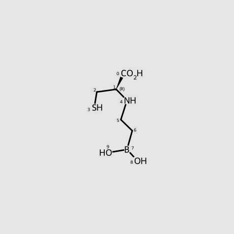 O=C(O)[C@H](CS)NCCB(O)O